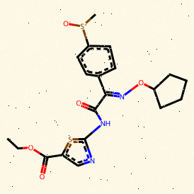 CCOC(=O)c1cnc(NC(=O)/C(=N/OC2CCCC2)c2ccc([S+](C)[O-])cc2)s1